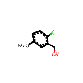 COc1ccc(Cl)c(CO)c1